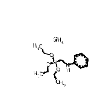 CCO[Si](CNc1ccccc1)(OCC)OCC.[SiH4]